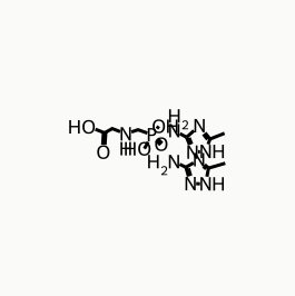 Cc1nc(N)n[nH]1.Cc1nc(N)n[nH]1.O=C(O)CNCP(=O)(O)O